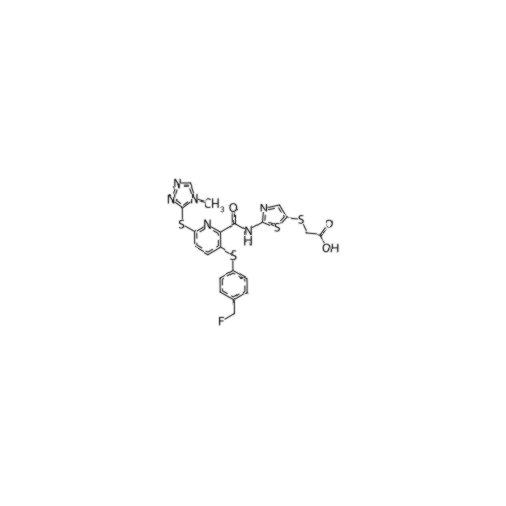 Cn1cnnc1Sc1ccc(Sc2ccc(CF)cc2)c(C(=O)Nc2ncc(SCC(=O)O)s2)n1